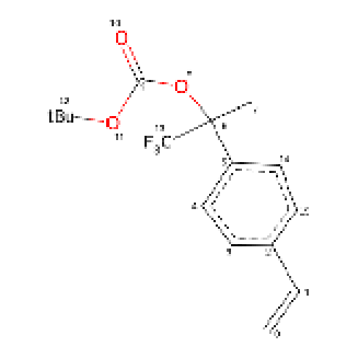 C=Cc1ccc(C(C)(OC(=O)OC(C)(C)C)C(F)(F)F)cc1